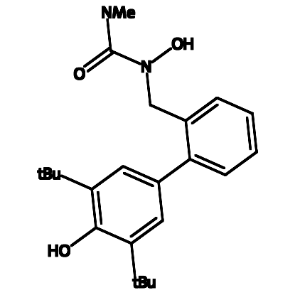 CNC(=O)N(O)Cc1ccccc1-c1cc(C(C)(C)C)c(O)c(C(C)(C)C)c1